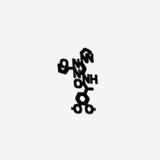 COc1ccc(C(C)C(=O)Nc2cc(N3CCC=N3)nc(-c3ccco3)n2)cc1OC